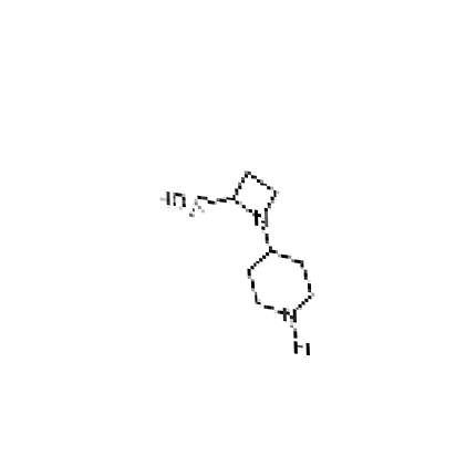 CCN1CCC(N2CCC2C(=O)O)CC1